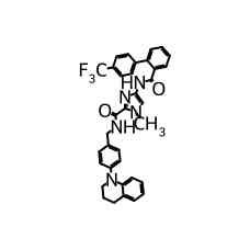 Cn1cc(NC(=O)c2ccccc2-c2ccc(C(F)(F)F)cc2)nc1C(=O)NCc1ccc(N2CCCc3ccccc32)cc1